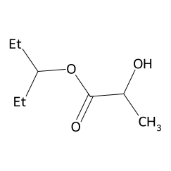 CCC(CC)OC(=O)C(C)O